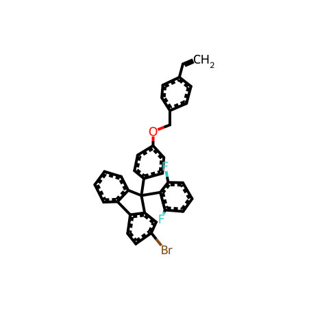 C=Cc1ccc(COc2ccc(C3(c4c(F)cccc4F)c4ccccc4-c4ccc(Br)cc43)cc2)cc1